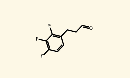 O=CCCc1ccc(F)c(F)c1F